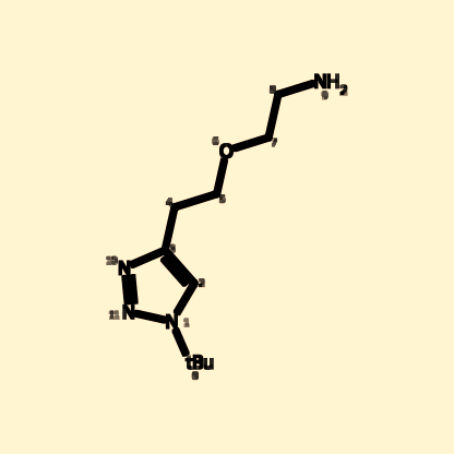 CC(C)(C)n1cc(CCOCCN)nn1